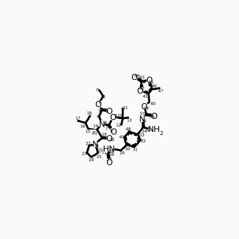 CCOC(=O)CN(C(=O)OC(C)(C)C)[C@H](CC(C)C)C(=O)N1CCC[C@H]1C(=O)NCc1ccc(C(N)=NC(=O)OCc2oc(=O)oc2C)cc1